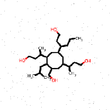 CCCC(CCO)C1CC(C(C)CCO)CC(CO)C(CC(C)C)C(C(C)CCO)C1